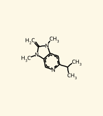 C=C1N(C)c2cnc(C(C)C)cc2N1C